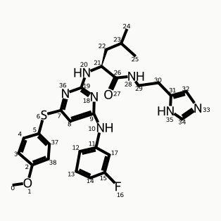 COc1ccc(Sc2cc(Nc3cccc(F)c3)nc(N[C@@H](CC(C)C)C(=O)NCCc3cnc[nH]3)n2)cc1